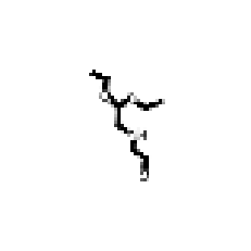 CCOC(CNCC=O)OCC